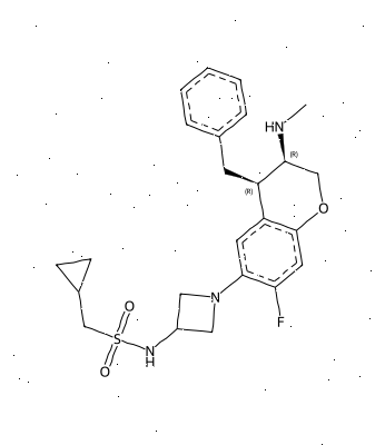 CN[C@H]1COc2cc(F)c(N3CC(NS(=O)(=O)CC4CC4)C3)cc2[C@H]1Cc1ccccc1